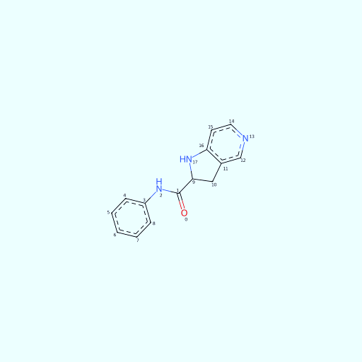 O=C(Nc1ccccc1)C1Cc2cnccc2N1